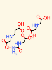 NC(=O)NCC(=O)O.O=C(O)CCNCC(=O)O.O=C(O)CNCC(=O)O